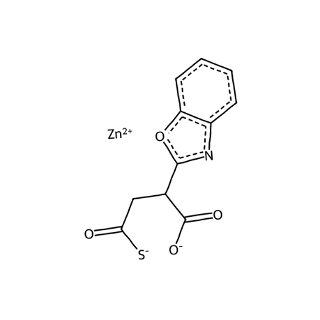 O=C([S-])CC(C(=O)[O-])c1nc2ccccc2o1.[Zn+2]